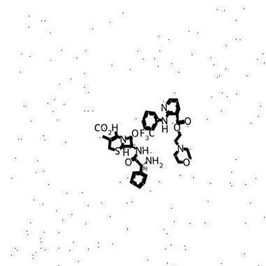 CC1=C(C(=O)O)N2C(=O)[C@@H](NC(=O)[C@H](N)c3ccccc3)[C@H]2SC1.O=C(OCCN1CCOCC1)c1cccnc1Nc1cccc(C(F)(F)F)c1